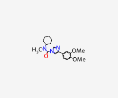 COc1ccc(-c2cn(C(=O)N(C)C3CCCCC3)cn2)cc1OC